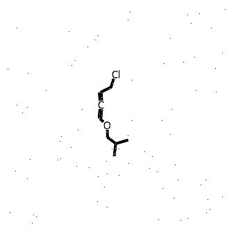 CC(C)COC=C=CCCl